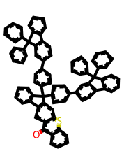 O=c1c2ccccc2sc2cc3c(cc12)-c1ccccc1C3(c1ccc(-c2ccc3c(c2)C(c2ccccc2)(c2ccccc2)c2ccccc2-3)cc1)c1ccc(-c2ccc3c(c2)C(c2ccccc2)(c2ccccc2)c2ccccc2-3)cc1